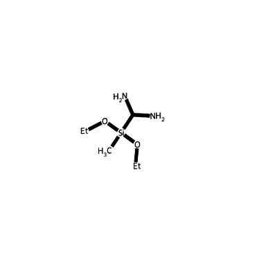 CCO[Si](C)(OCC)C(N)N